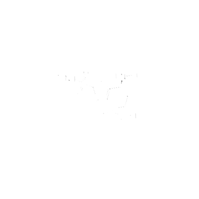 CCN[C@H]1C[C@H](C)S(=O)(=O)c2sc(S(=O)(=O)NC(C)=O)cc21